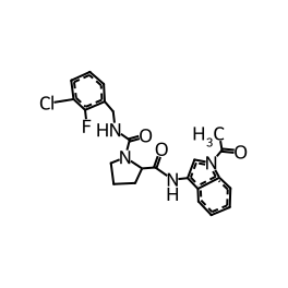 CC(=O)n1cc(NC(=O)C2CCCN2C(=O)NCc2cccc(Cl)c2F)c2ccccc21